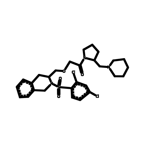 O=C(COCC1Cc2ccccc2CN1S(=O)(=O)c1ccc(Cl)cc1Cl)N1CCCC1CN1CCCCC1